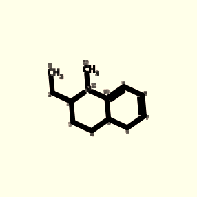 CCC1CCC2CC=CC=C2N1C